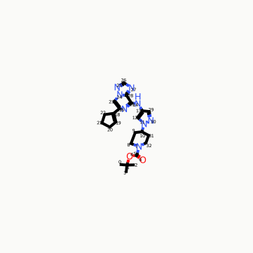 CC(C)(C)OC(=O)N1CCC(n2cc(Nc3nc(C4=CCCC4)cn4ncnc34)cn2)CC1